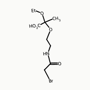 CCOC(C)(OCCNC(=O)CBr)C(=O)O